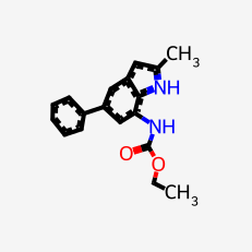 CCOC(=O)Nc1cc(-c2ccccc2)cc2cc(C)[nH]c12